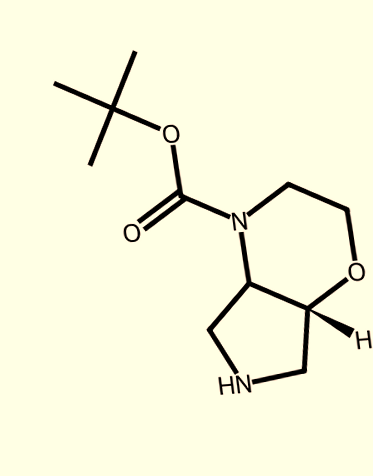 CC(C)(C)OC(=O)N1CCO[C@@H]2CNCC21